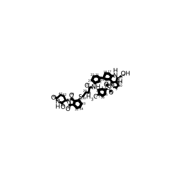 Cc1ccc(S(=O)(=O)N2CC[C@@H]3[C@H](CO)Nc4ccc(-c5cccc(NC(=O)CCCSc6cccc7c6C(=O)N(C6CCC(=O)NC6=O)C7=O)c5)cc4[C@@H]32)cc1